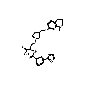 O=C(NC(CCN1CCC(CCc2ccc3c(n2)NCCC3)C1)C(=O)O)c1cccc(-c2ncco2)c1